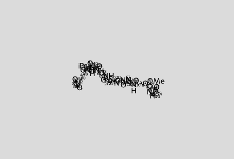 COc1cc2c(cc1OCCCC(=O)Nc1cc(C(=O)Nc3ccc(-c4cc(C)c(C(=O)Nc5ccc(NC(=O)[C@H](C)NC(=O)[C@@H](NC(=O)CCCCCN6C(=O)C=CC6=O)C(C)C)cc5)s4)nc3)n(C)c1)N=C[C@@H]1CCCCN1C2=O